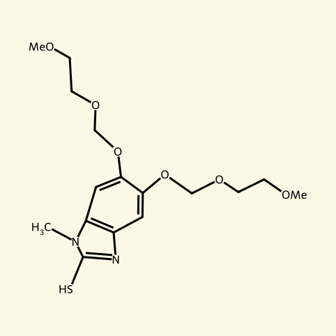 COCCOCOc1cc2nc(S)n(C)c2cc1OCOCCOC